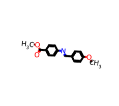 COC(=O)c1ccc(N=Cc2ccc(OC)cc2)cc1